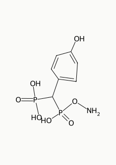 NOP(=O)(O)C(c1ccc(O)cc1)P(=O)(O)O